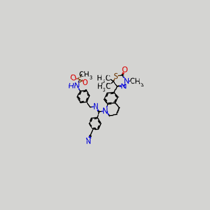 CN1N=C(c2ccc3c(c2)CCCN3C(=NCc2ccc(NS(C)(=O)=O)cc2)c2ccc(C#N)cc2)C(C)(C)SC1=O